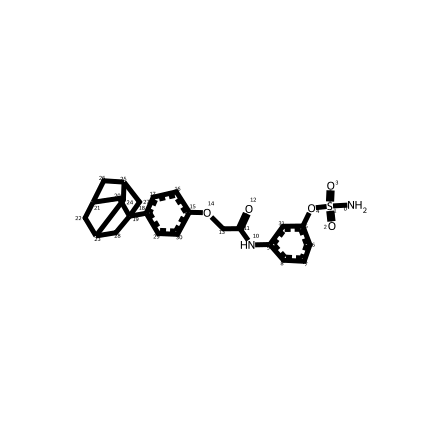 NS(=O)(=O)Oc1cccc(NC(=O)COc2ccc(C34CC5CC(CC(C5)C3)C4)cc2)c1